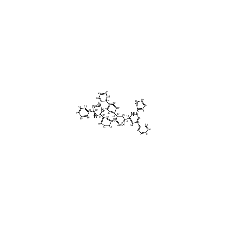 c1ccc(-c2cc(-c3ccccn3)nc(-c3cc(-c4ccc(-c5ccccc5-c5nc(-c6ccccc6)nc(-c6ccccc6)n5)cc4)ccn3)c2)cc1